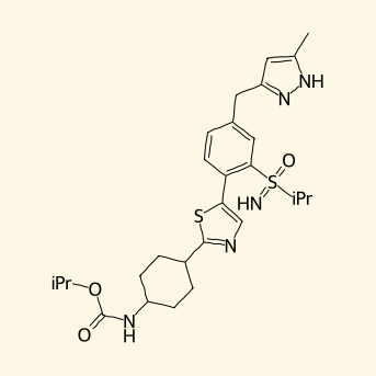 Cc1cc(Cc2ccc(-c3cnc(C4CCC(NC(=O)OC(C)C)CC4)s3)c(S(=N)(=O)C(C)C)c2)n[nH]1